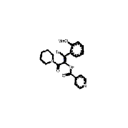 COc1ccccc1/C(Br)=C(\NC(=O)c1ccncc1)C(=O)N1CCCCC1